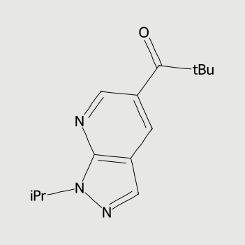 CC(C)n1ncc2cc(C(=O)C(C)(C)C)cnc21